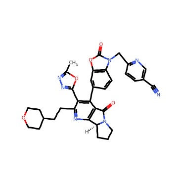 Cc1nnc(-c2c(CCC3CCOCC3)nc3c(c2-c2ccc4c(c2)oc(=O)n4Cc2ccc(C#N)cn2)C(=O)N2CCC[C@@H]32)o1